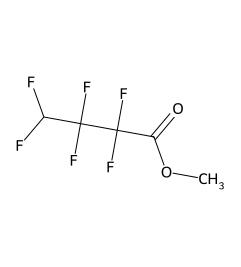 COC(=O)C(F)(F)C(F)(F)C(F)F